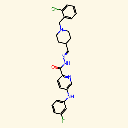 O=C(NN=CC1CCN(Cc2ccccc2Cl)CC1)c1ccc(Nc2cccc(F)c2)cn1